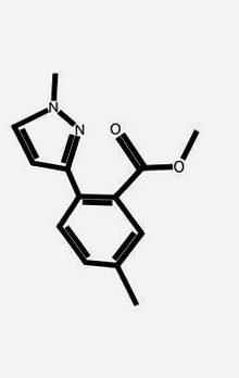 COC(=O)c1cc(C)ccc1-c1ccn(C)n1